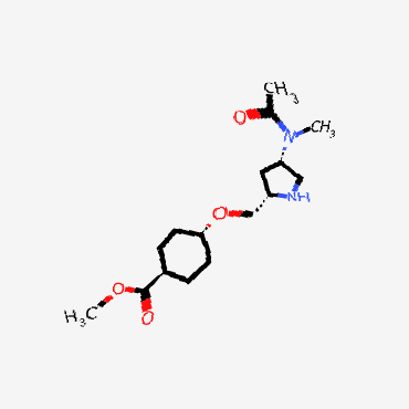 COC(=O)[C@H]1CC[C@H](OC[C@@H]2C[C@H](N(C)C(C)=O)CN2)CC1